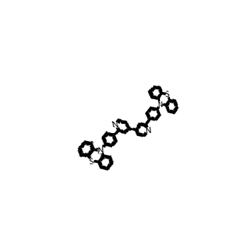 c1ccc2c(c1)Sc1ccccc1N2c1ccc(-c2cc(-c3ccnc(-c4ccc(N5c6ccccc6Sc6ccccc65)cc4)c3)ccn2)cc1